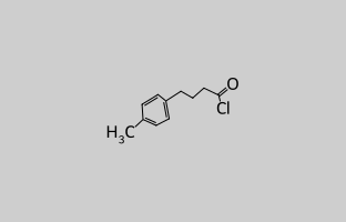 Cc1ccc(CCCC(=O)Cl)cc1